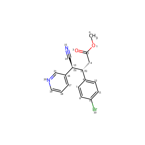 COC(=O)C[C@H](c1ccc(Br)cc1)[C@H](C#N)c1cccnc1